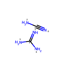 N#CN.N=C(N)N